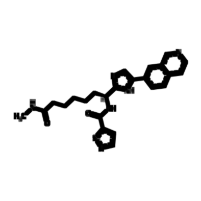 CNC(=O)CCCCC[C@H](NC(=O)c1ccns1)c1ncc(-c2ccc3ccncc3c2)[nH]1